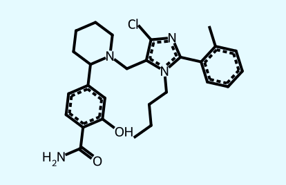 CCCCn1c(-c2ccccc2C)nc(Cl)c1CN1CCCCC1c1ccc(C(N)=O)c(O)c1